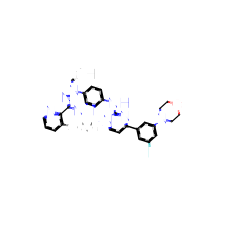 C=CN(/N=C(\N)c1ncccc1OC)c1ccc(Nc2nccc(-c3cc(F)cc(N4CCOCC4)c3)n2)cc1